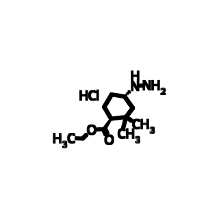 CCOC(=O)[C@H]1CC[C@H](NN)CC1(C)C.Cl